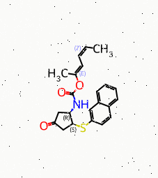 C/C=C\C=C(/C)OC(=O)N[C@@H]1CC(=O)C[C@@H]1Sc1ccc2ccccc2c1